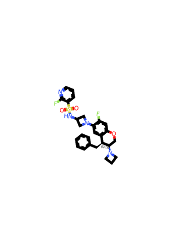 O=S(=O)(NC1CN(c2cc3c(cc2F)OC[C@@H](N2CCC2)[C@H]3Cc2ccccc2)C1)c1cccnc1F